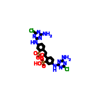 Nc1nc(Cl)nc(Nc2ccc(C=Cc3ccc(Nc4nc(N)nc(Cl)n4)cc3S(=O)(=O)O)c(S(=O)(=O)O)c2)n1